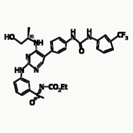 CCOC(=O)N=S(C)(=O)c1cccc(Nc2ncc(-c3ccc(NC(=O)Nc4cccc(C(F)(F)F)c4)cc3)c(N[C@H](C)CO)n2)c1